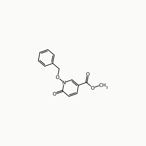 COC(=O)c1ccc(=O)n(OCc2ccccc2)c1